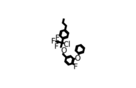 CCCc1ccc(C(Cl)(COCc2ccc(F)c(Oc3ccccc3)c2)C(F)(F)F)cc1